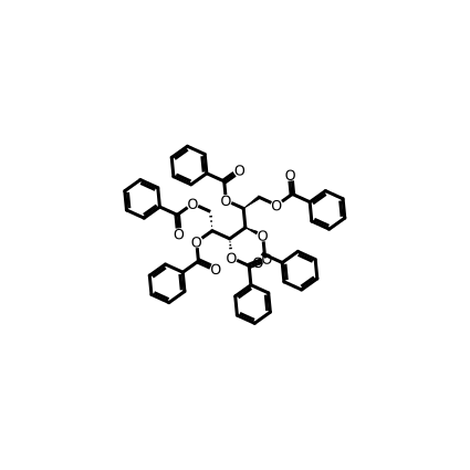 O=C(OC[C@H](OC(=O)c1ccccc1)[C@@H](OC(=O)c1ccccc1)[C@H](OC(=O)c1ccccc1)[C@@H](COC(=O)c1ccccc1)OC(=O)c1ccccc1)c1ccccc1